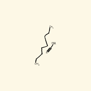 CCCCCCCC.N#CO